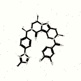 Cc1nnn(-c2ccc([C@@H](C)N3C[C@@H](C)n4nc5c(c4C3=O)CN(C(=O)c3ccc(Cl)c(Cl)c3)[C@H](C)C5)cc2)n1